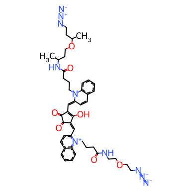 CC(CCOC(C)CCN=[N+]=[N-])NC(=O)CCCN1/C(=C/C2=C(O)C(=C/c3ccc4ccccc4[n+]3CCCC(=O)NCCOCCN=[N+]=[N-])/C(=O)C2=O)C=Cc2ccccc21